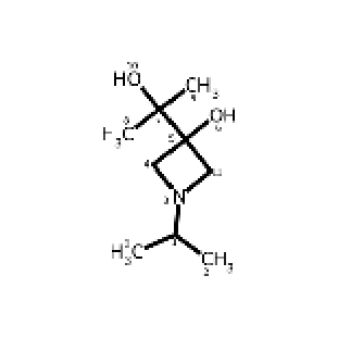 CC(C)N1CC(O)(C(C)(C)O)C1